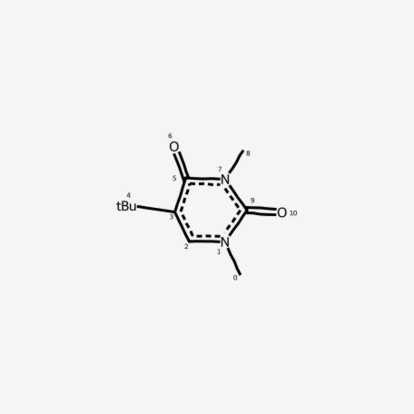 Cn1cc(C(C)(C)C)c(=O)n(C)c1=O